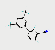 N#Cc1c(F)ccc(-c2cc(C(F)(F)F)cc(C(F)(F)F)c2)c1F